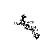 C[C@@H](COc1ncccn1)CN1CCN(c2cc(C3CCC3)nc(C(C)(C)C)n2)CC1.Cl